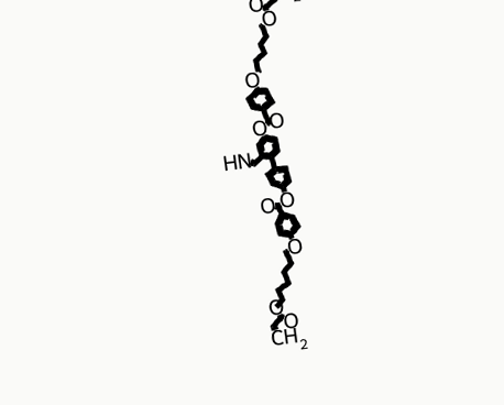 C=CC(=O)OCCCCCCOc1ccc(C(=O)Oc2ccc(-c3ccc(OC(=O)c4ccc(OCCCCCCOC(=O)C=C)cc4)cc3C=N)cc2)cc1